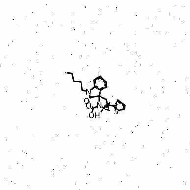 CCCCCN1C(=O)C(CC(=O)c2cccs2)(N(C(=O)O)C(C)(C)C)c2ccccc21